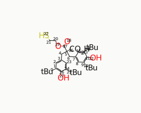 CC(C)(C)c1cc(CC(Cc2cc(C(C)(C)C)c(O)c(C(C)(C)C)c2)(C(=O)O)C(=O)OCCS)cc(C(C)(C)C)c1O